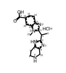 CC(c1nc2c([nH]1)CCNC2)c1nc2ccc(C(=O)O)cc2n1C.Cl